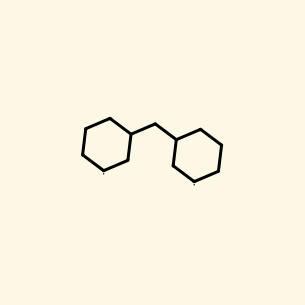 [CH]1CCCC(CC2C[CH]CCC2)C1